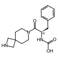 O=C(O)N[C@H](Cc1ccccc1)C(=O)N1CCC2(CC1)CNC2